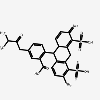 CC(C)C(=O)Cc1ccc(C2c3ccc(N)c(S(=O)(=O)O)c3CC3=C(S(=O)(=O)O)C(=N)C=CC32)c(C(=O)O)c1